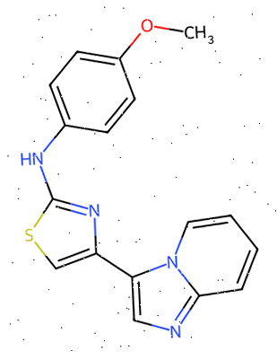 COc1ccc(Nc2nc(-c3cnc4ccccn34)cs2)cc1